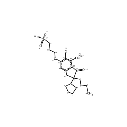 CCCCC1(C2CCCC2)Cc2cc(OCCCS(=O)(=O)[O-])c(Cl)c(Cl)c2C1=O.[Na+]